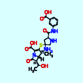 CC(O)[C@H]1C(=O)N2C(C(=O)O)=C(SC3(N)CNC(C(=O)Nc4cccc(C(=O)O)c4)C3)[C@H](C)[C@H]12